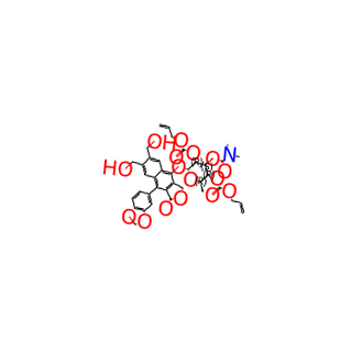 C=CCOC(=O)O[C@H]1[C@H](OC(=O)N(C)C)[C@@H](OC(=O)OCC=C)C(Oc2c3c(c(-c4ccc5c(c4)OCO5)c4cc(CO)c(CO)cc24)C(=O)OC3)O[C@@H]1C